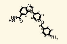 O=C(NO)c1ccc2ncn(-c3ccc(OCc4ccc(P)cc4)cc3)c2c1